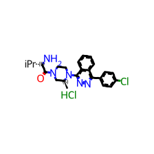 CC(C)[C@H](N)C(=O)N1CCN(c2nnc(-c3ccc(Cl)cc3)c3ccccc23)[C@@H](C)C1.Cl